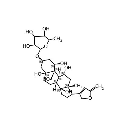 C=C1C=C(C2CC[C@]3(O)[C@@H]4CC[C@]5(O)C[C@@H](OC6OC(C)C(O)C(O)C6O)C[C@@H](O)[C@]5(CO)[C@H]4[C@H](O)C[C@]23C)CO1